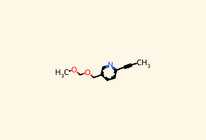 CC#Cc1ccc(COCOC)cn1